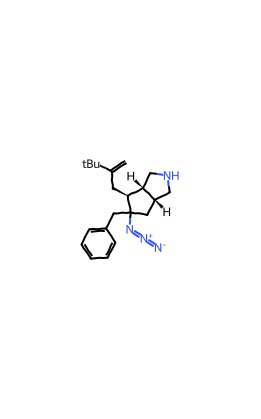 C=C(C[C@H]1[C@@H]2CNC[C@@H]2CC1(Cc1ccccc1)N=[N+]=[N-])C(C)(C)C